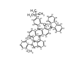 Cc1cccc(C)c1-c1nc2cccc3c2n1-c1cccc2c1B3c1ccc(-n3c4ccccc4c4ccccc43)c(C)c1N2c1ccc(C(C)(C)C)cc1